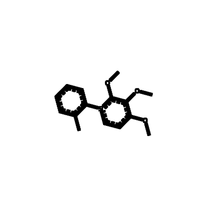 COc1cc[si](-c2ccccc2C)c(OC)c1OC